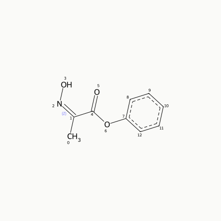 C/C(=N/O)C(=O)Oc1ccccc1